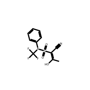 CC(O)=C(C#N)S(=O)(=O)N(c1ccccc1)C(F)(F)F